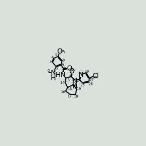 CNc1ccc(OC)cc1C(=O)NC(CC1CCCCC1)C(=O)Nc1ccc(Cl)cn1